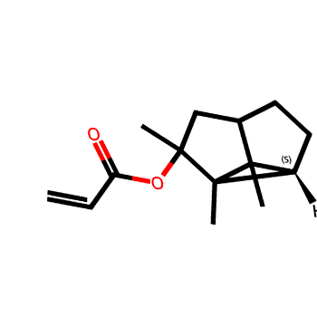 C=CC(=O)OC1(C)CC2CC[C@H]3C2(C)C31C